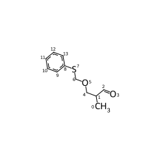 CC(C=O)COCSc1ccccc1